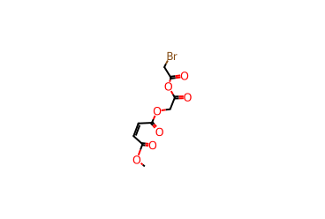 COC(=O)/C=C\C(=O)OCC(=O)OC(=O)CBr